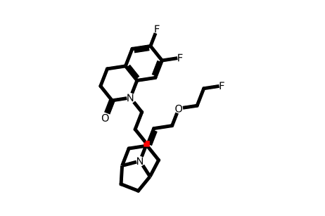 O=C1CCc2cc(F)c(F)cc2N1CCCN1C2CCC1CC(=CCOCCF)C2